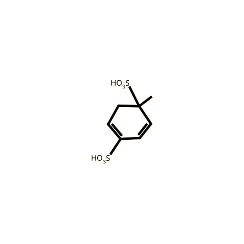 CC1(S(=O)(=O)O)C=CC(S(=O)(=O)O)=CC1